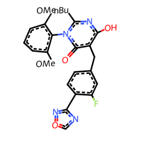 CCCCc1nc(O)c(Cc2ccc(-c3ncon3)c(F)c2)c(=O)n1-c1c(OC)cccc1OC